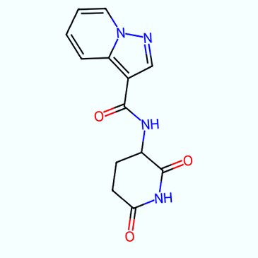 O=C1CCC(NC(=O)c2cnn3ccccc23)C(=O)N1